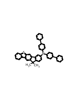 CC1(C)c2ccc(N(c3ccc(-c4ccccc4)cc3)c3ccc(-c4ccccc4)cc3)cc2-c2cc3sc4ccccc4c3cc21